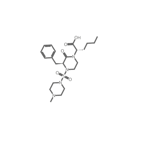 CCCC[C@@H](C(=O)O)N1CCN(S(=O)(=O)N2CCN(C)CC2)[C@@H](Cc2ccccc2)C1=O